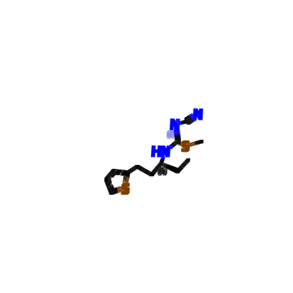 CC[C@@H](CCc1cccs1)N/C(=N/C#N)SC